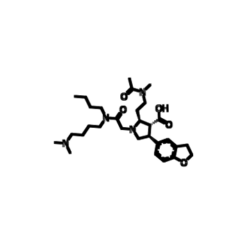 CCCCN(CCCCN(C)C)C(=O)CN1C[C@H](c2ccc3c(c2)CCO3)[C@@H](C(=O)O)[C@@H]1CCN(C)C(C)=O